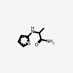 CC(Nc1cccs1)C(N)=O